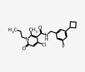 CCCn1c(C)c(C(=O)NCc2cc(F)cc(C3CCC3)c2)c(Cl)cc1=O